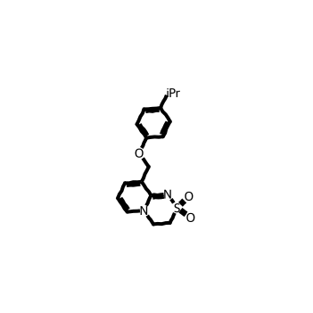 CC(C)c1ccc(OCC2=CC=CN3CCS(=O)(=O)N=C23)cc1